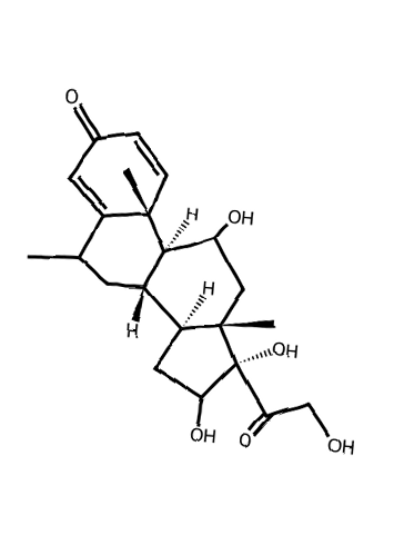 CC1C[C@@H]2[C@H](C(O)C[C@@]3(C)[C@H]2CC(O)[C@]3(O)C(=O)CO)[C@@]2(C)C=CC(=O)C=C12